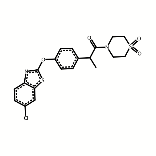 CC(C(=O)N1CCS(=O)(=O)CC1)c1ccc(Oc2nc3ccc(Cl)cc3s2)cc1